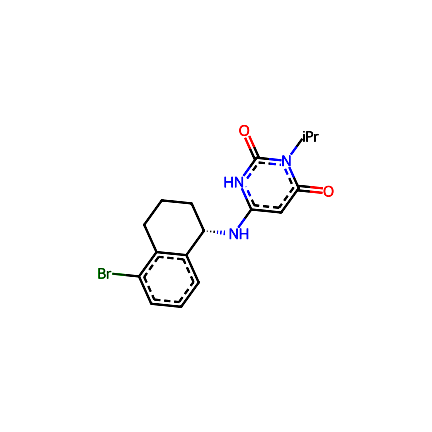 CC(C)n1c(=O)cc(N[C@H]2CCCc3c(Br)cccc32)[nH]c1=O